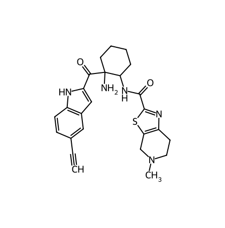 C#Cc1ccc2[nH]c(C(=O)C3(N)CCCCC3NC(=O)c3nc4c(s3)CN(C)CC4)cc2c1